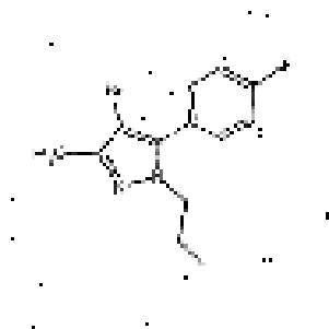 Cc1nn(CCI)c(-c2ccc(F)cc2)c1Br